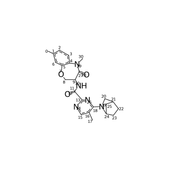 Cc1ccc2c(c1)OCC(NC(=O)c1ncc(C)c(N3CC4CCC3C4)n1)C(=O)N2C